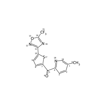 Cc1ccc(C(=O)c2ccc(-c3noc(C(F)(F)F)n3)s2)nc1